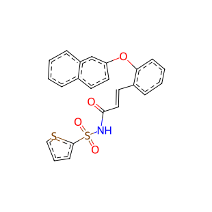 O=C(C=Cc1ccccc1Oc1ccc2ccccc2c1)NS(=O)(=O)c1cccs1